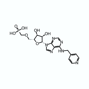 O=P(O)(O)COC[C@H]1O[C@@H](n2cnc3c(NCc4ccncc4)ncnc32)[C@H](O)[C@@H]1O